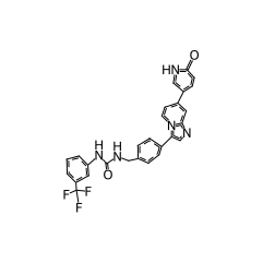 O=C(NCc1ccc(-c2cnc3cc(-c4ccc(=O)[nH]c4)ccn23)cc1)Nc1cccc(C(F)(F)F)c1